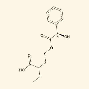 CCC(CCOC(=O)[C@H](O)c1ccccc1)C(=O)O